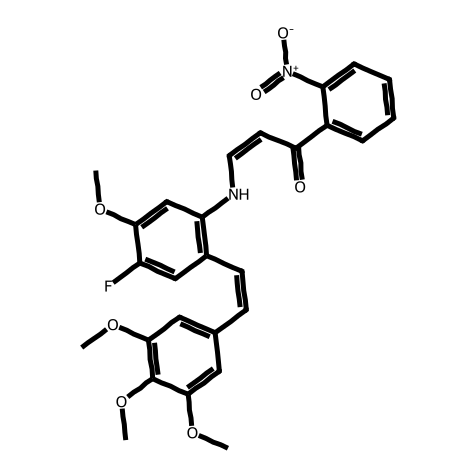 COc1cc(N/C=C\C(=O)c2ccccc2[N+](=O)[O-])c(/C=C\c2cc(OC)c(OC)c(OC)c2)cc1F